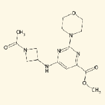 COC(=O)c1cc(NC2CN(C(C)=O)C2)nc(N2CCOCC2)n1